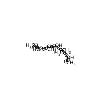 C=C(C)C(=O)OCC(O)COCOc1ccc(C(C)(C)c2ccc(OCC(O)COc3ccc(C(C)(C)c4ccc(OCC(O)COC(C)=O)cc4)cc3)cc2)cc1